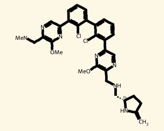 C=C1CC[C@@H](CNCc2ncc(-c3cccc(-c4cccc(-c5cnc(CNC)c(OC)n5)c4Cl)c3Cl)nc2OC)N1